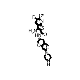 COc1nc2sc(C(=O)N[C@H]3COc4cc(N5CCNCC5)ccc4C3)c(N)c2cc1F